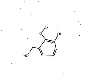 CCOc1c(O)cccc1CO